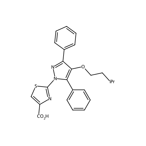 CC(C)CCOc1c(-c2ccccc2)nn(-c2nc(C(=O)O)cs2)c1-c1ccccc1